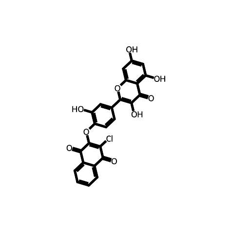 O=C1C(Cl)=C(Oc2ccc(-c3oc4cc(O)cc(O)c4c(=O)c3O)cc2O)C(=O)c2ccccc21